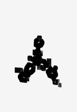 CCc1c(N2CC3CC(F)C(C2)N3c2ncccc2O)c(=O)n2nc(C3=CCOCC3)nc2n1CC(=O)Nc1ccc(C(F)(F)F)cc1C